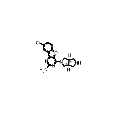 Nc1nc(N2C[C@H]3CNC[C@H]3C2)c2oc3ccc(Cl)cc3c2n1